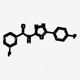 O=C(Nc1nnc(-c2ccc(F)cc2)o1)c1cccc(F)c1